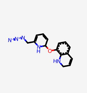 [N-]=[N+]=NCC1=CC=CC(Oc2cccc3c2NCC=C3)N1